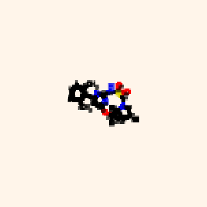 Cc1cccc(C)c1-c1cc2nc(n1)NS(=O)(=O)CN1C[C@H]3C[C@@H]1[C@@H](C3)O2